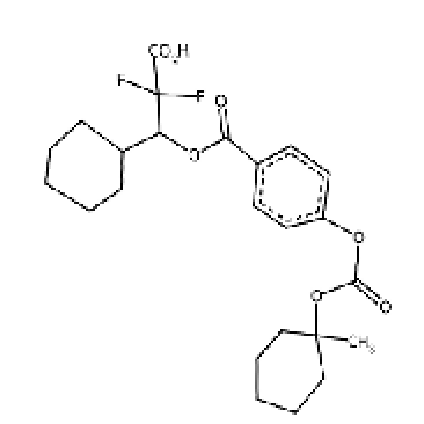 CC1(OC(=O)Oc2ccc(C(=O)OC(C3CCCCC3)C(F)(F)C(=O)O)cc2)CCCCC1